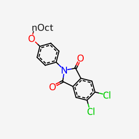 CCCCCCCCOc1ccc(N2C(=O)c3cc(Cl)c(Cl)cc3C2=O)cc1